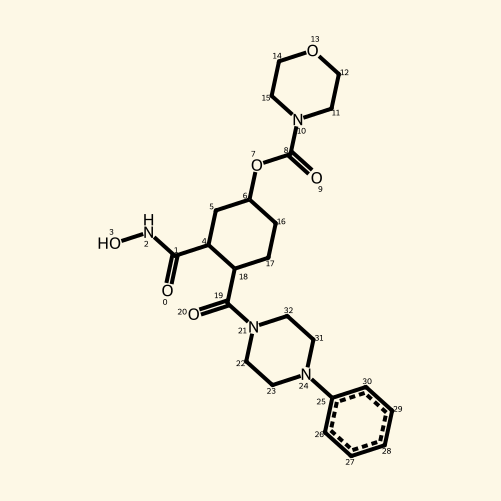 O=C(NO)C1CC(OC(=O)N2CCOCC2)CCC1C(=O)N1CCN(c2ccccc2)CC1